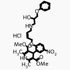 COC(=O)C1=C(C)NC(C)=C(C(=O)OC)C1c1cc([N+](=O)[O-])ccc1OC/C=C\CNCC(O)COc1ccccc1.Cl